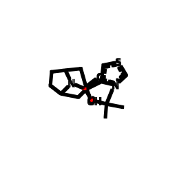 CC(C)(C)OC(=O)N1C2CCC1CC(O)(c1cscn1)C2